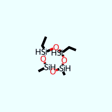 CC[SiH]1O[SiH](C)O[SiH](C)O[SiH](CC)O1